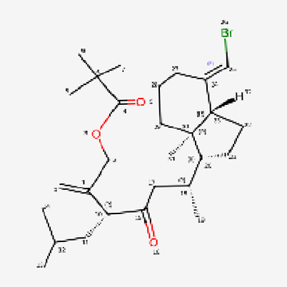 C=C(COC(=O)C(C)(C)C)[C@@H](CC(C)C)C(=O)C[C@@H](C)[C@H]1CC[C@H]2/C(=C/Br)CCC[C@]12C